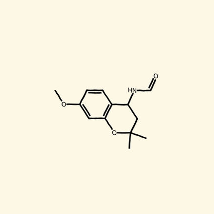 COc1ccc2c(c1)OC(C)(C)CC2NC=O